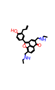 C=CCc1cc(-c2oc3c(CNCC)ccc4c3c2C=C(CNCC)C4=O)ccc1O